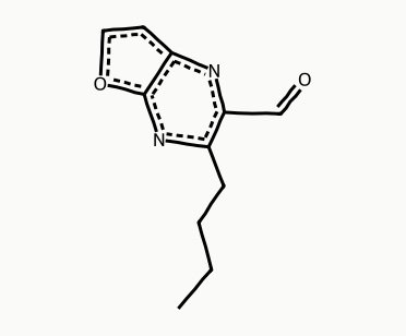 CCCCc1nc2occc2nc1C=O